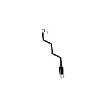 C#CCC[CH]CC